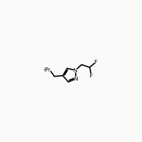 CC(C)Cc1cnn(CC(F)F)c1